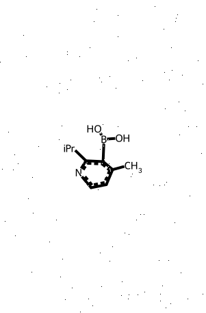 Cc1ccnc(C(C)C)c1B(O)O